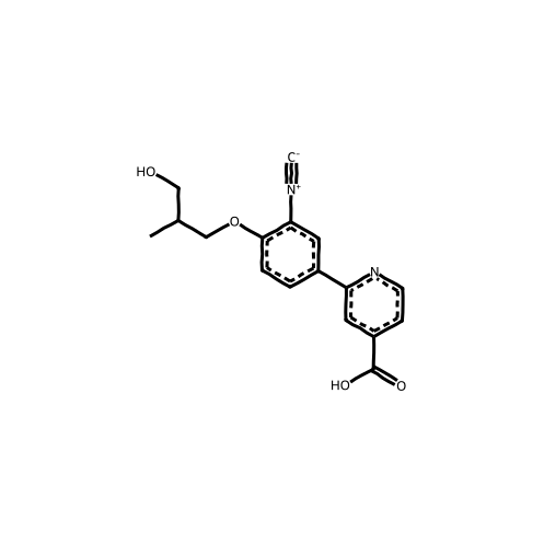 [C-]#[N+]c1cc(-c2cc(C(=O)O)ccn2)ccc1OCC(C)CO